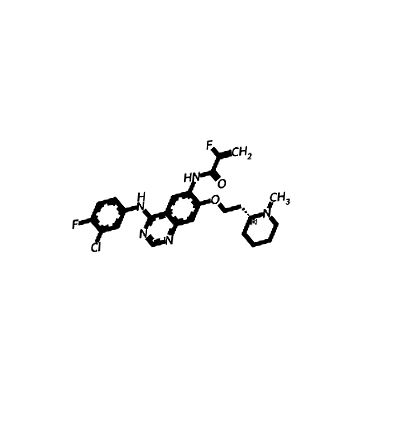 C=C(F)C(=O)Nc1cc2c(Nc3ccc(F)c(Cl)c3)ncnc2cc1OCC[C@H]1CCCCN1C